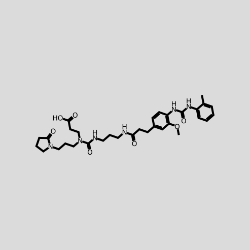 COc1cc(CCC(=O)NCCCNC(=O)N(CCCN2CCCC2=O)CCC(=O)O)ccc1NC(=O)Nc1ccccc1C